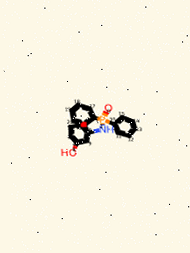 O=P(Nc1cccc(O)c1)(c1ccccc1)c1ccccc1